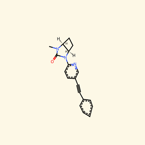 CN1C(=O)N(c2ccc(C#Cc3ccccc3)cn2)[C@@H]2CC[C@@H]21